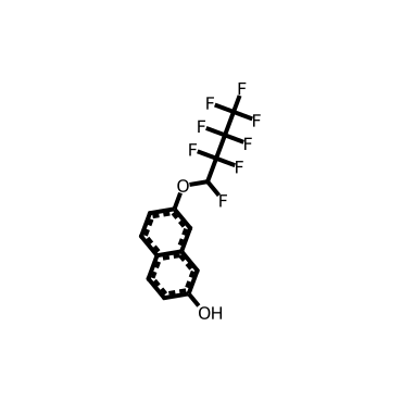 Oc1ccc2ccc(OC(F)C(F)(F)C(F)(F)C(F)(F)F)cc2c1